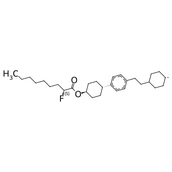 CCCCCCC[C@H](F)C(=O)O[C@H]1CC[C@H](c2ccc(CCC3CC[CH]CC3)cc2)CC1